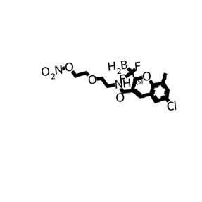 BC(F)(F)[C@H]1Oc2c(C)cc(Cl)cc2C=C1C(=O)NCCOCCO[N+](=O)[O-]